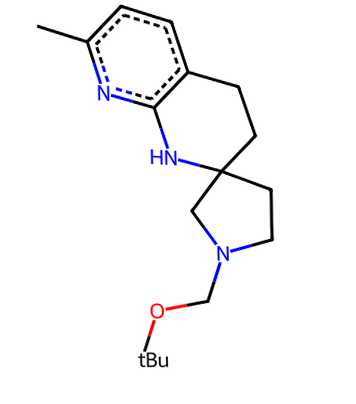 Cc1ccc2c(n1)NC1(CC2)CCN(COC(C)(C)C)C1